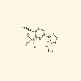 N#Cc1ccc(N2CCC[C@@H]2CO)cc1C(F)(F)F